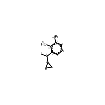 CC(C)c1cccc(C(C)C2CC2)c1O